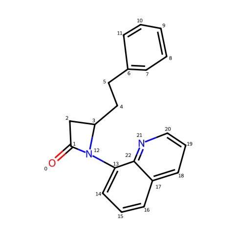 O=C1CC(CCc2ccccc2)N1c1cccc2cccnc12